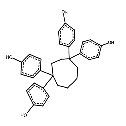 Oc1ccc(C2(c3ccc(O)cc3)CCCCC(c3ccc(O)cc3)(c3ccc(O)cc3)CC2)cc1